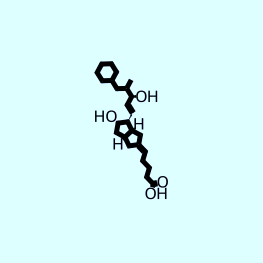 CC(CC1CCCCC1)[C@@H](O)/C=C/[C@@H]1[C@H]2C/C(=C/CCCC(=O)O)C[C@@H]2C[C@H]1O